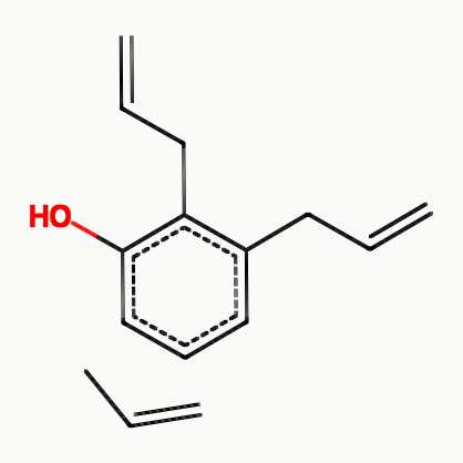 C=CC.C=CCc1cccc(O)c1CC=C